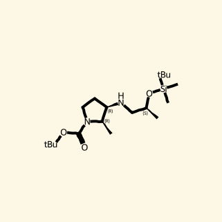 C[C@@H]1[C@H](NC[C@H](C)O[Si](C)(C)C(C)(C)C)CCN1C(=O)OC(C)(C)C